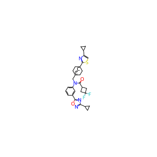 O=C(C1CC(F)(F)C1)N(CC12CCC(c3nc(C4CC4)cs3)(CC1)CC2)c1cccc(-c2nc(C3CC3)no2)c1